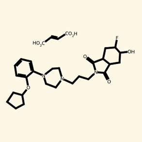 O=C(O)C=CC(=O)O.O=C1C2CC(O)C(F)CC2C(=O)N1CCCN1CCN(c2ccccc2OC2CCCC2)CC1